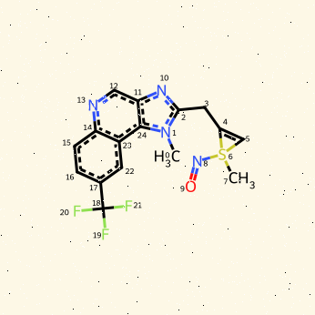 Cn1c(CC2=CS2(C)N=O)nc2cnc3ccc(C(F)(F)F)cc3c21